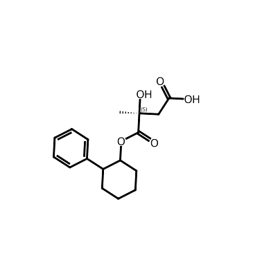 C[C@](O)(CC(=O)O)C(=O)OC1CCCCC1c1ccccc1